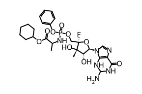 CC(NP(=O)(OC[C@@]1(F)O[C@@H](n2cnc3c2NC(N)NC3=O)[C@H](O)[C@]1(C)O)Oc1ccccc1)C(=O)OC1CCCCC1